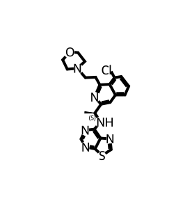 C[C@H](Nc1ncnc2scnc12)c1cc2cccc(Cl)c2c(CCN2CCOCC2)n1